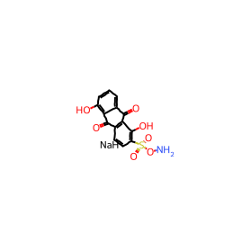 NOS(=O)(=O)c1ccc2c(c1O)C(=O)c1cccc(O)c1C2=O.[NaH]